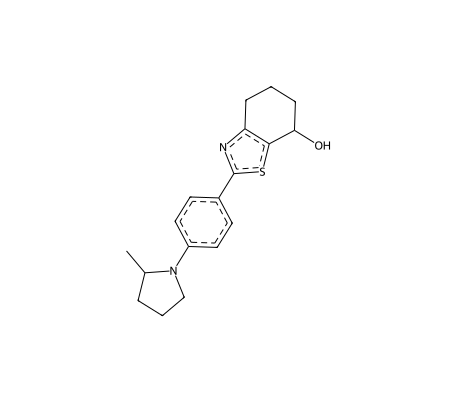 CC1CCCN1c1ccc(-c2nc3c(s2)C(O)CCC3)cc1